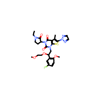 CCN1CCC(n2c(=O)c3c(C)c(-n4nccn4)sc3n(CC(OCCOC)c3cc(F)ccc3OC)c2=O)C1=O